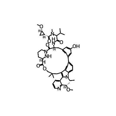 CCn1c(-c2cccnc2[C@H](C)OC)c2c3cc(ccc31)-c1cc(O)cc(c1)C[C@H](NC(=O)C(C(C)C)N(C)C(=O)[C@@H]1C[C@@H]1OC)C(=O)N1CCC[C@H](N1)C(=O)OCC(C)(C)C2